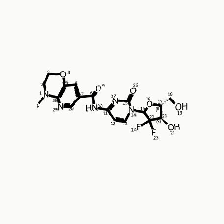 CN1CCOc2cc(C(=O)Nc3ccn(C4O[C@H](CO)[C@@H](O)C4(F)F)c(=O)n3)cnc21